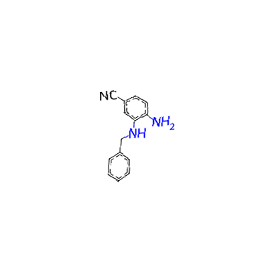 N#Cc1ccc(N)c(NCc2ccccc2)c1